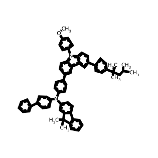 COc1ccc(-n2c3ccc(-c4ccc(N(c5ccc(-c6ccccc6)cc5)c5ccc6c(c5)C(C)(C)c5ccccc5-6)cc4)cc3c3cc(-c4ccc(C(C)(C)CC(C)C)cc4)ccc32)cc1